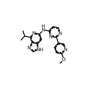 COc1ccc(-c2nccc(Nc3cc4[nH]cnc4c(C(C)C)n3)n2)cn1